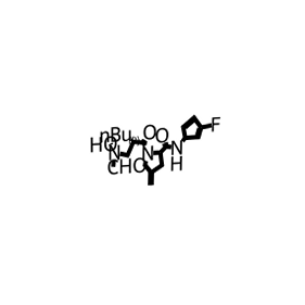 C=C1CC(C(=O)NC2C=CC(F)=C2)N(C(=O)[C@H](CCCC)CN(O)C=O)C1